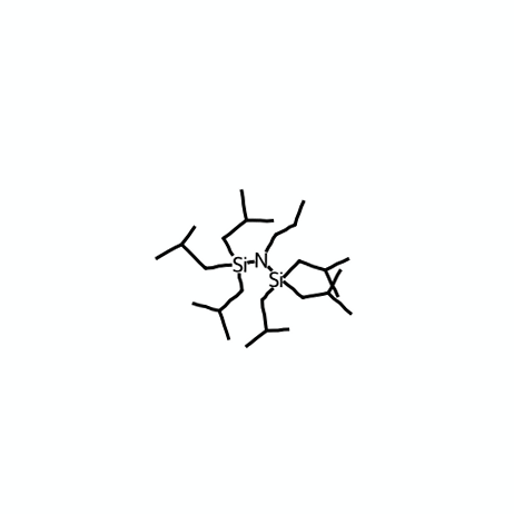 CCCN([Si](CC(C)C)(CC(C)C)CC(C)C)[Si](CC(C)C)(CC(C)C)CC(C)C